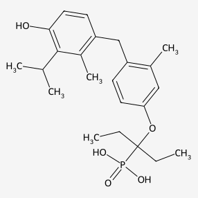 CCC(CC)(Oc1ccc(Cc2ccc(O)c(C(C)C)c2C)c(C)c1)P(=O)(O)O